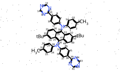 Cc1ccc(N(c2ccc(-c3ncncn3)cc2)c2c3ccc(C(C)(C)C)cc3c(N(c3ccc(C)cc3)c3ccc(-c4ncncn4)cc3)c3ccc(C(C)(C)C)cc23)cc1